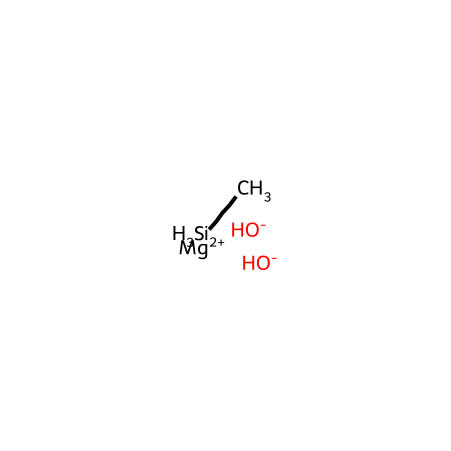 C[SiH3].[Mg+2].[OH-].[OH-]